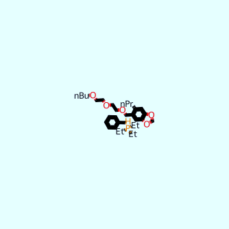 CCCCOCCOCCOCc1cc2c(cc1CCC)OCO2.CC[PH](CC)(CC)Cc1ccccc1